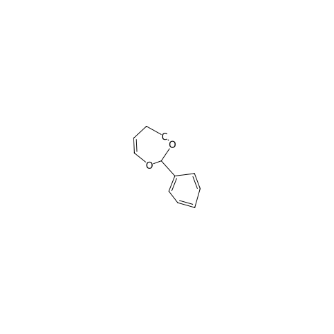 C1=COC(c2ccccc2)OCC1